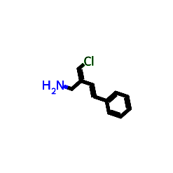 NC/C(C=Cc1ccccc1)=C/Cl